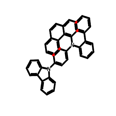 c1ccc(-c2ccccc2N(c2ccc(-n3c4ccccc4c4ccccc43)cc2)c2cccc3ccc4ccccc4c23)cc1